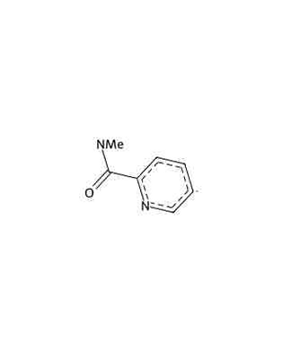 CNC(=O)c1cc[c]cn1